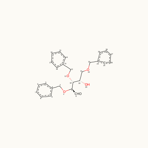 O=C[C@@H](OCc1ccccc1)[C@H](OCc1ccccc1)[C@@H](O)COCc1ccccc1